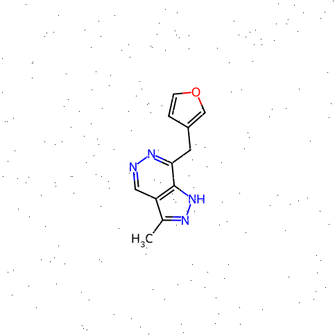 Cc1n[nH]c2c(Cc3ccoc3)nncc12